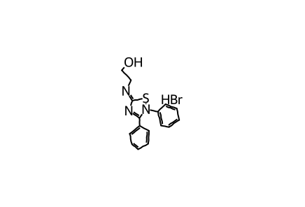 Br.OCCN=c1nc(-c2ccccc2)n(-c2ccccc2)s1